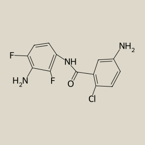 Nc1ccc(Cl)c(C(=O)Nc2ccc(F)c(N)c2F)c1